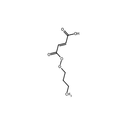 CCCCOOC(=O)/C=C/C(=O)O